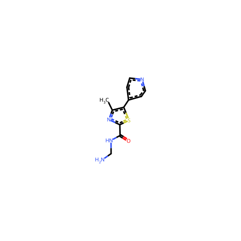 Cc1nc(C(=O)NCN)sc1-c1ccncc1